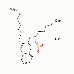 CCCCCCCCCCCCCCCCc1cc2ccccc2c(S(=O)(=O)[O-])c1CCCCCCCCCCCCCCCC.[Na+]